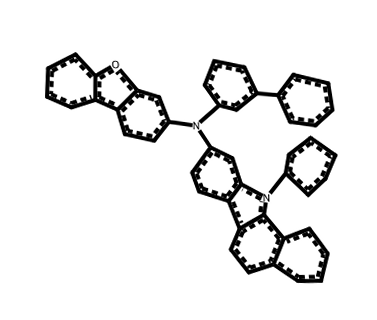 c1ccc(-c2cccc(N(c3ccc4c(c3)oc3ccccc34)c3ccc4c5ccc6ccccc6c5n(-c5ccccc5)c4c3)c2)cc1